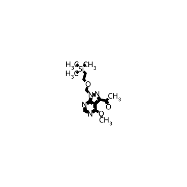 COc1ncnc2c1c(C(C)=O)nn2COCC[Si](C)(C)C